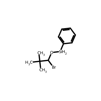 CC(C)(C)C(Br)O[SiH2]c1ccccc1